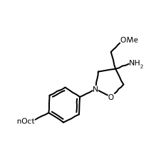 CCCCCCCCc1ccc(N2CC(N)(COC)CO2)cc1